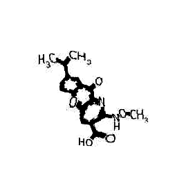 CONc1nc2c(=O)c3cc(C(C)C)ccc3oc2cc1C(=O)O